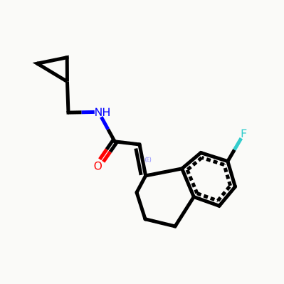 O=C(/C=C1\CCCc2ccc(F)cc21)NCC1CC1